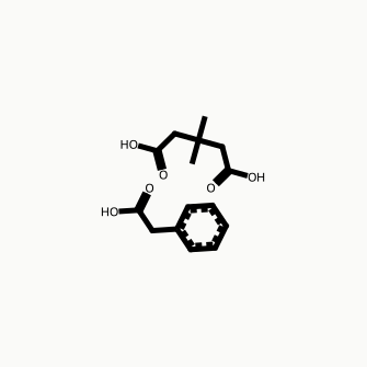 CC(C)(CC(=O)O)CC(=O)O.O=C(O)Cc1ccccc1